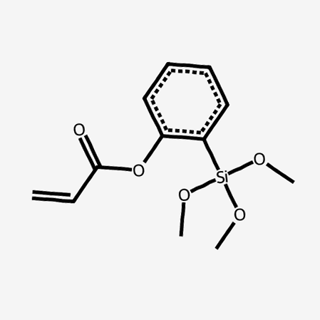 C=CC(=O)Oc1ccccc1[Si](OC)(OC)OC